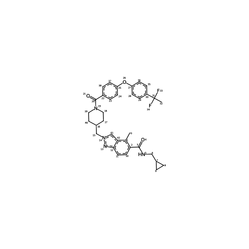 Cc1c(C(=O)NCC2CC2)ccc2nn(CC3CCN(C(=O)c4ccc(Oc5ccc(C(C)(F)F)cc5)cc4)CC3)cc12